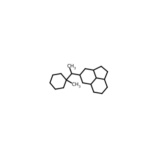 CC(C1CC2CCCC3CCC(C1)C32)C1(C)CCCCC1